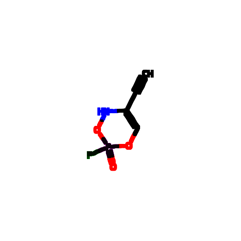 C#CC1=COP(=O)(F)ON1